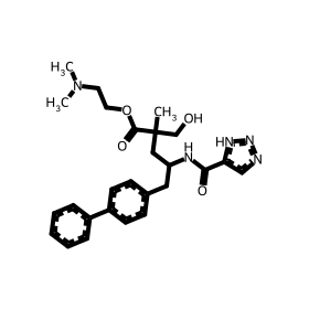 CN(C)CCOC(=O)C(C)(CO)CC(Cc1ccc(-c2ccccc2)cc1)NC(=O)c1cnn[nH]1